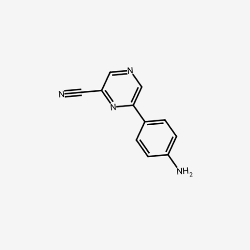 N#Cc1cncc(-c2ccc(N)cc2)n1